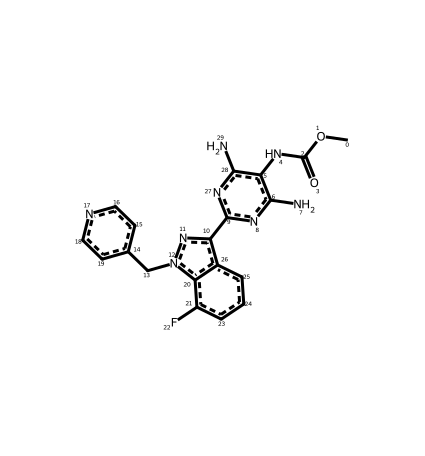 COC(=O)Nc1c(N)nc(-c2nn(Cc3ccncc3)c3c(F)cccc23)nc1N